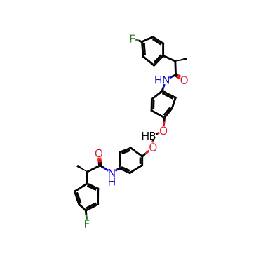 C[C@@H](C(=O)Nc1ccc(OBOc2ccc(NC(=O)[C@H](C)c3ccc(F)cc3)cc2)cc1)c1ccc(F)cc1